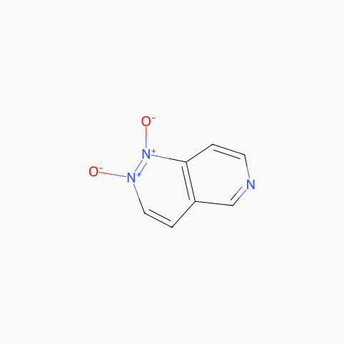 [O-][n+]1ccc2cnccc2[n+]1[O-]